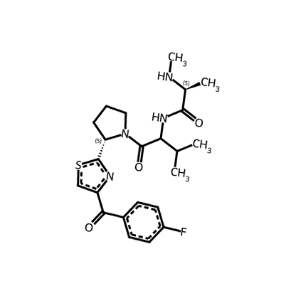 CN[C@@H](C)C(=O)NC(C(=O)N1CCC[C@H]1c1nc(C(=O)c2ccc(F)cc2)cs1)C(C)C